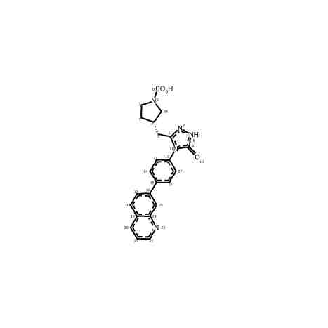 O=C(O)N1CC[C@@H](Cc2n[nH]c(=O)n2-c2ccc(-c3ccc4cccnc4c3)cc2)C1